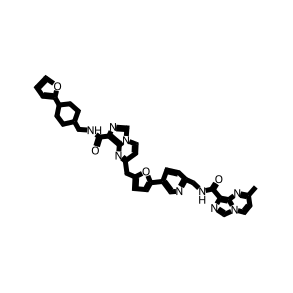 Cc1ccn2cnc(C(=O)NCc3ccc(-c4ccc(Cc5ccn6cnc(C(=O)NCC7CCC(c8ccco8)CC7)c6n5)o4)cn3)c2n1